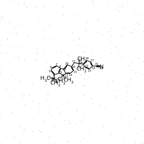 CC(C)(C)c1cccc2c1C(C)(C)c1ccc(CC(C)(C)c3ccc(C#N)cc3)cc1-2